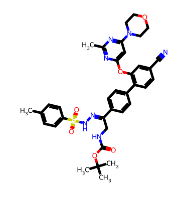 Cc1ccc(S(=O)(=O)NN=C(CNC(=O)OC(C)(C)C)c2ccc(-c3ccc(C#N)cc3Oc3cc(N4CCOCC4)nc(C)n3)cc2)cc1